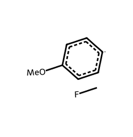 CF.COc1cc[c]cc1